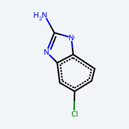 NC1=Nc2cc(Cl)ccc2[N]1